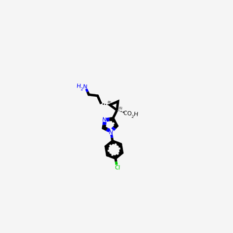 NCCC[C@@H]1C[C@@]1(C(=O)O)c1cn(-c2ccc(Cl)cc2)cn1